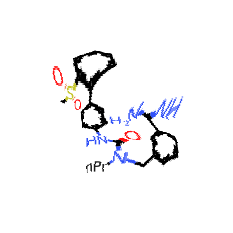 CCCN(Cc1cccc(C(=N)N)c1)C(=O)Nc1ccc(-c2ccccc2S(C)(=O)=O)cc1